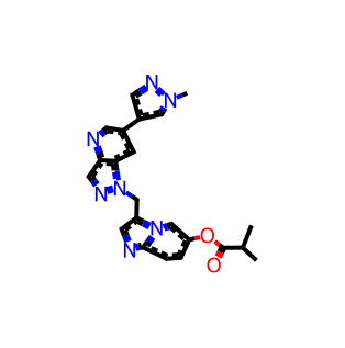 CC(C)C(=O)Oc1ccc2ncc(Cn3ncc4ncc(-c5cnn(C)c5)cc43)n2c1